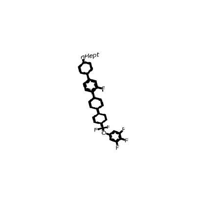 CCCCCCCC1CCC(c2ccc(C3CCC(C4CCC(C(F)(F)Oc5cc(F)c(F)c(F)c5)CC4)CC3)c(F)c2)CC1